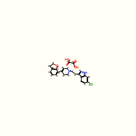 Clc1ccc2c(CCN3CC=C(c4cccc5c4OCC5)CC3)c[nH]c2c1.O=C(O)C(=O)O